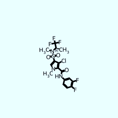 C[C@@H](N(C)S(=O)(=O)c1cn(C)c(C(=O)Nc2ccc(F)c(F)c2)c1Cl)C(F)(F)F